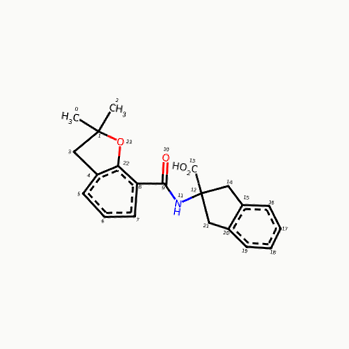 CC1(C)Cc2cccc(C(=O)NC3(C(=O)O)Cc4ccccc4C3)c2O1